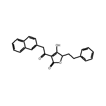 O=C(Cc1ccc2ccccc2c1)C1=C(O)C(CCc2ccccc2)OC1=O